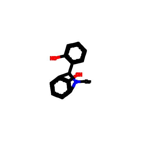 Oc1ccccc1C1c2cccc(c2O)[N]1[Ga]